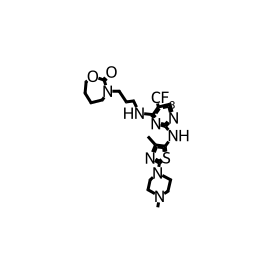 Cc1nc(N2CCN(C)CC2)sc1Nc1ncc(C(F)(F)F)c(NCCCN2CCCCOC2=O)n1